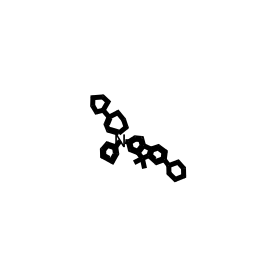 CC1(C)c2cc(C3CCCCC3)ccc2-c2ccc(N(C3=CC=C(C4CCCCC4)CCC3)c3ccccc3)cc21